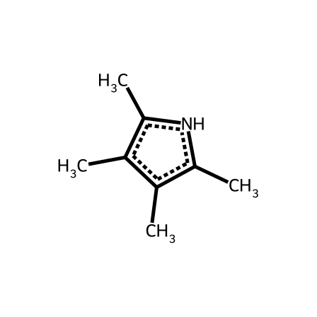 Cc1[nH]c(C)c(C)c1C